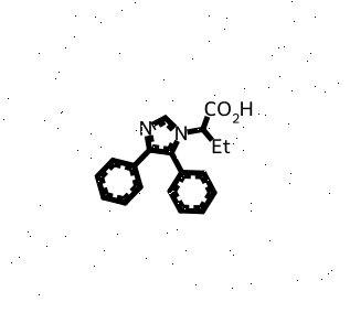 [CH2]CC(C(=O)O)n1cnc(-c2ccccc2)c1-c1ccccc1